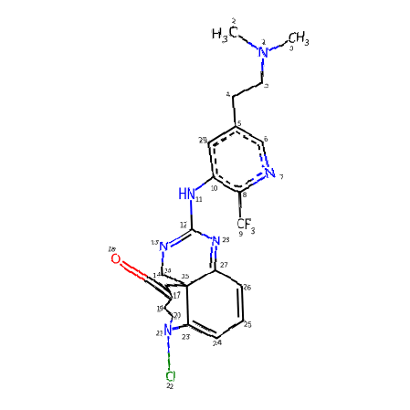 CN(C)CCc1cnc(C(F)(F)F)c(NC2=NCC34CC(=O)CCN(Cl)C3=CC=CC4=N2)c1